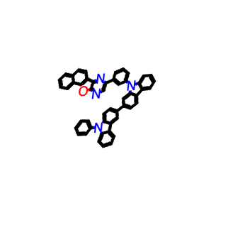 c1ccc(-n2c3ccccc3c3cc(-c4ccc5c6ccccc6n(-c6cccc(-c7cnc8oc9c%10ccccc%10ccc9c8n7)c6)c5c4)ccc32)cc1